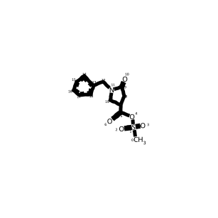 CS(=O)(=O)OC(=O)C1CC(=O)N(Cc2ccccc2)C1